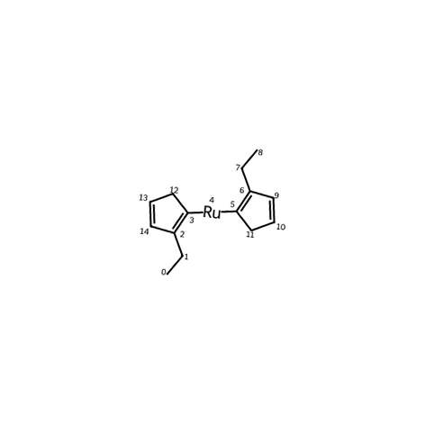 CCC1=[C]([Ru][C]2=C(CC)C=CC2)CC=C1